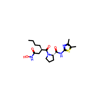 CCCC[C@H](CC(=O)NO)C(=O)N1CCC[C@H]1C(=O)Nc1nc(C)c(C)s1